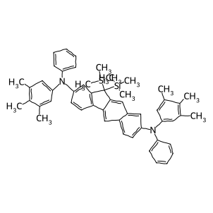 Cc1cc(N(c2ccccc2)c2ccc3c(c2)C([Si](C)(C)C)([Si](C)(C)C)c2cc4cc(N(c5ccccc5)c5cc(C)c(C)c(C)c5)ccc4cc2-3)cc(C)c1C